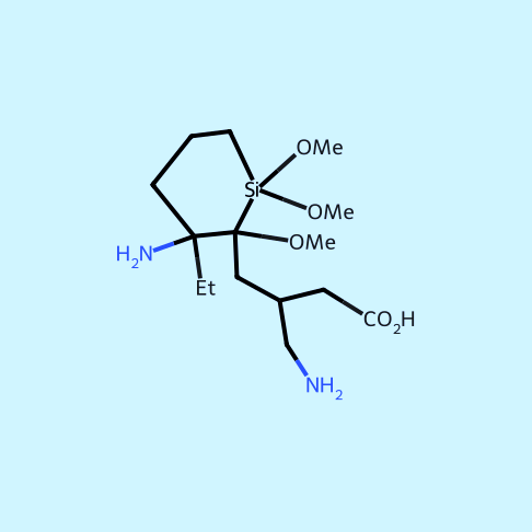 CCC1(N)CCC[Si](OC)(OC)C1(CC(CN)CC(=O)O)OC